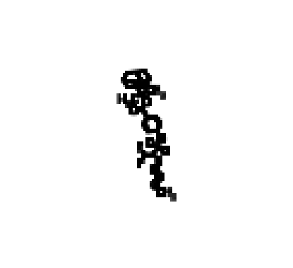 COOOSC(=C(F)F)S(=O)(=O)Oc1ccc(C(=O)OC(C)(C)C23CC4CC(CC(C4)C2)C3)cc1